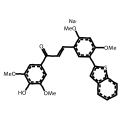 COc1cc(OC)c(-c2cc3ccccc3s2)cc1C=CC(=O)c1cc(OC)c(O)c(OC)c1.[Na]